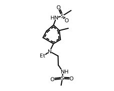 CCN(CCNS(C)(=O)=O)c1ccc(NS(C)(=O)=O)c(C)c1